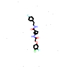 O=C(COc1ccc(Cl)c(F)c1)NC1CC2(C(=O)NCCc3ccc(F)cc3)CC1C2